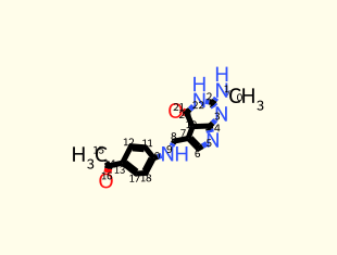 CNC1=NC2=NC=C(CNc3ccc(C(C)=O)cc3)C2C(=O)N1